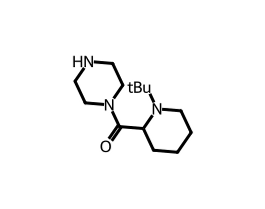 CC(C)(C)N1CCCCC1C(=O)N1CCNCC1